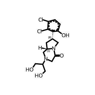 O=C1CN(C(CO)CO)C[C@@H]2C[C@H](c3c(O)ccc(Cl)c3Cl)CN12